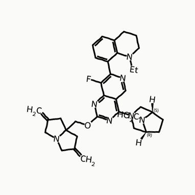 C=C1CN2CC(=C)CC2(COc2nc(N3C[C@H]4CC[C@@H](C3)N4C(=O)O)c3cnc(-c4cccc5c4N(CC)CCC5)c(F)c3n2)C1